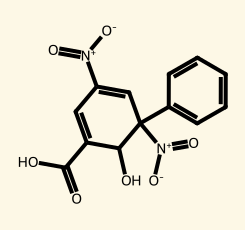 O=C(O)C1=CC([N+](=O)[O-])=CC(c2ccccc2)([N+](=O)[O-])C1O